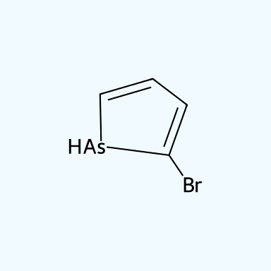 BrC1=CC=C[AsH]1